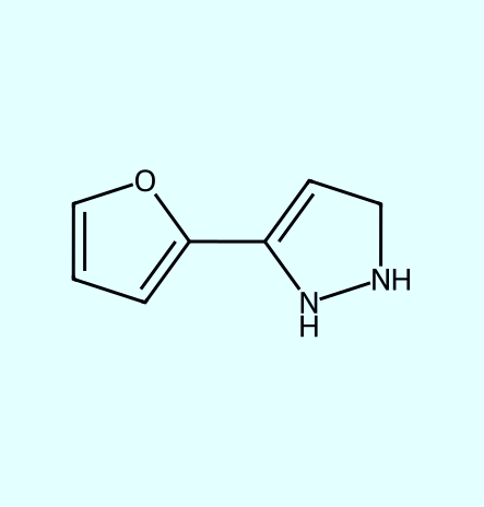 C1=C(c2ccco2)NNC1